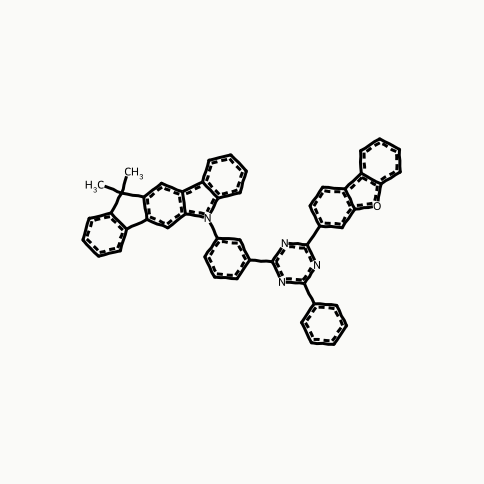 CC1(C)c2ccccc2-c2cc3c(cc21)c1ccccc1n3-c1cccc(-c2nc(-c3ccccc3)nc(-c3ccc4c(c3)oc3ccccc34)n2)c1